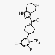 O=C(c1n[nH]c2c1CNCC2)N1CCC(c2cc(F)cc(F)c2C(F)(F)F)CC1